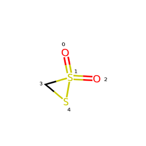 O=S1(=O)CS1